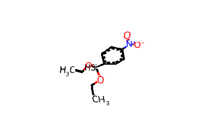 CCO[SiH](OCC)c1ccc([N+](=O)[O-])cc1